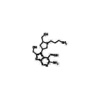 N=Cc1c(N)ncc2nc(CO)n(C3CC(CO)N(CCCN)C3)c12